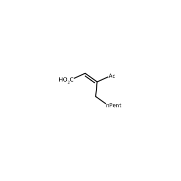 CCCCCC/C(=C\C(=O)O)C(C)=O